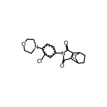 O=C1C2C3CCC(O3)C2C(=O)N1c1ccc(N2CCOCC2)c(Cl)c1